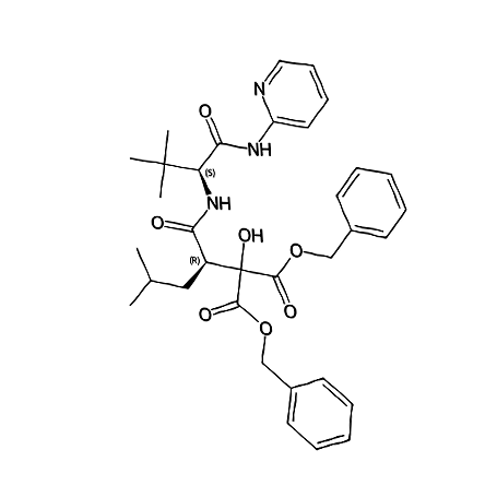 CC(C)C[C@@H](C(=O)N[C@H](C(=O)Nc1ccccn1)C(C)(C)C)C(O)(C(=O)OCc1ccccc1)C(=O)OCc1ccccc1